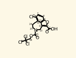 O=C(O)c1oc2ccc(Cl)c3c2c1CN(C(=O)OCC(Cl)(Cl)Cl)CC3